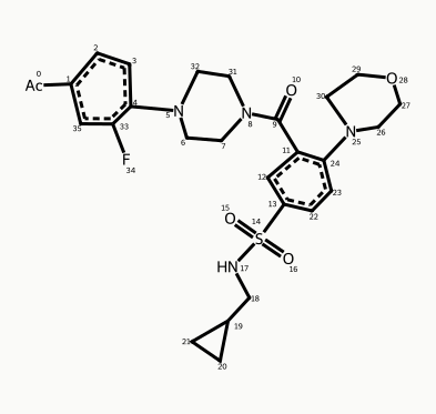 CC(=O)c1ccc(N2CCN(C(=O)c3cc(S(=O)(=O)NCC4CC4)ccc3N3CCOCC3)CC2)c(F)c1